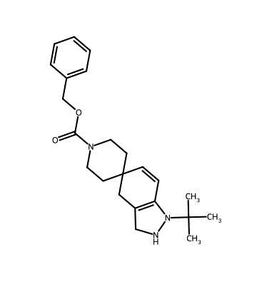 CC(C)(C)N1NCC2=C1C=CC1(CCN(C(=O)OCc3ccccc3)CC1)C2